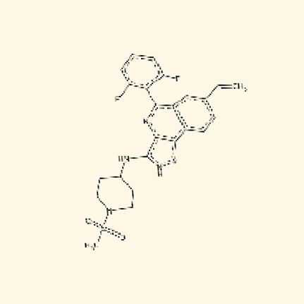 C=Cc1ccc2c(c1)c(-c1c(F)cccc1F)nc1c(NC3CCN(S(C)(=O)=O)CC3)[nH]nc12